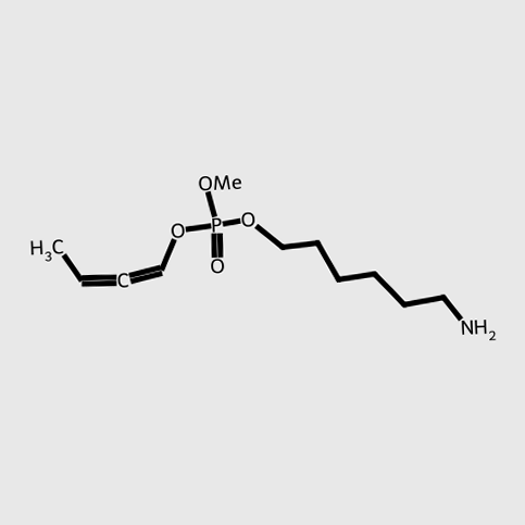 CC=C=COP(=O)(OC)OCCCCCCN